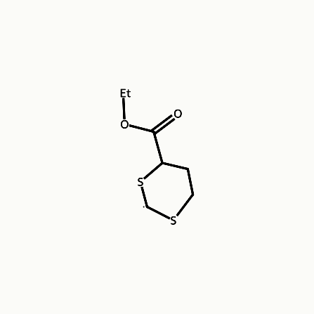 CCOC(=O)C1CCS[CH]S1